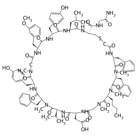 CCCC[C@H]1C(=O)N(C)CC(=O)N[C@@H](CC(=O)O)C(=O)N[C@@H](C(C)C)C(=O)N(C)[C@@H](Cc2ccccc2)C(=O)N[C@@H](Cc2ccc(O)cc2)C(=O)N(C)CC(=O)N[C@@H](Cc2cccc(OC)c2)C(=O)N[C@@H](Cc2ccc(O)cc2)C(=O)N[C@@H](CC(C)C)C(=O)N[C@H](C(=O)NCC(N)=O)CSCC(=O)N[C@@H](Cc2ccccc2)C(=O)N(C)[C@@H](Cc2ccccc2)C(=O)N1C